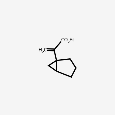 C=C(C(=O)OCC)C12CCCC1C2